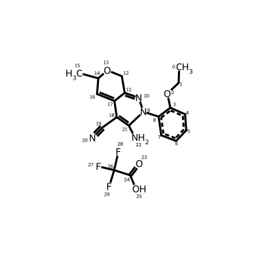 CCOc1ccccc1N1N=C2COC(C)C=C2C(C#N)=C1N.O=C(O)C(F)(F)F